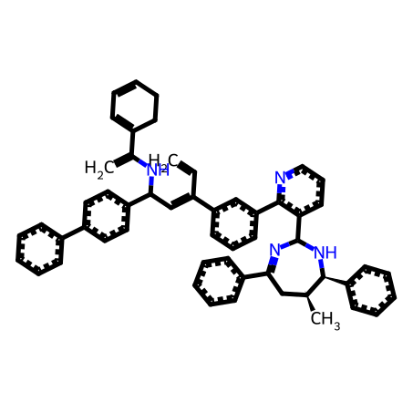 C=C/C(=C\C(NC(=C)C1=CC=CCC1)c1ccc(-c2ccccc2)cc1)c1cccc(-c2ncccc2C2N=C(c3ccccc3)C[C@H](C)[C@H](c3ccccc3)N2)c1